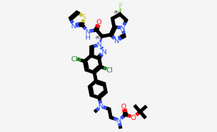 CN(CCN(C)c1ccc(-c2cc(Cl)c3cn([C@@H](C(=O)Nc4nccs4)c4ncn5c4C[C@@H](F)C5)nc3c2Cl)cc1)C(=O)OC(C)(C)C